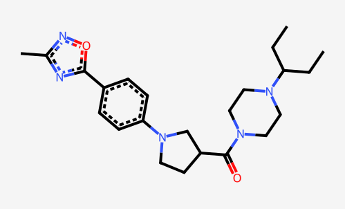 CCC(CC)N1CCN(C(=O)C2CCN(c3ccc(-c4nc(C)no4)cc3)C2)CC1